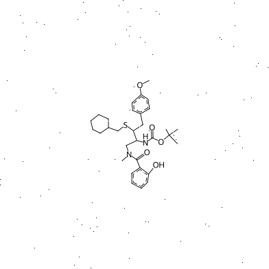 COc1ccc(CC(SCC2CCCCC2)C(CN(C)C(=O)c2ccccc2O)NC(=O)OC(C)(C)C)cc1